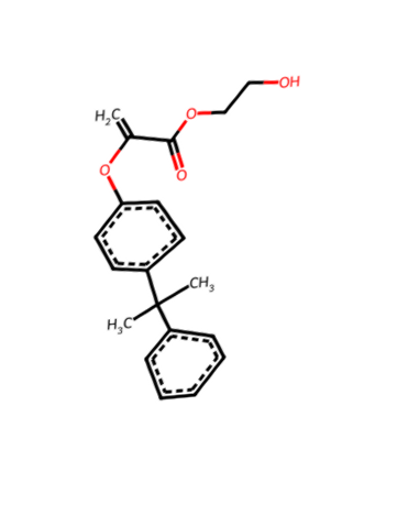 C=C(Oc1ccc(C(C)(C)c2ccccc2)cc1)C(=O)OCCO